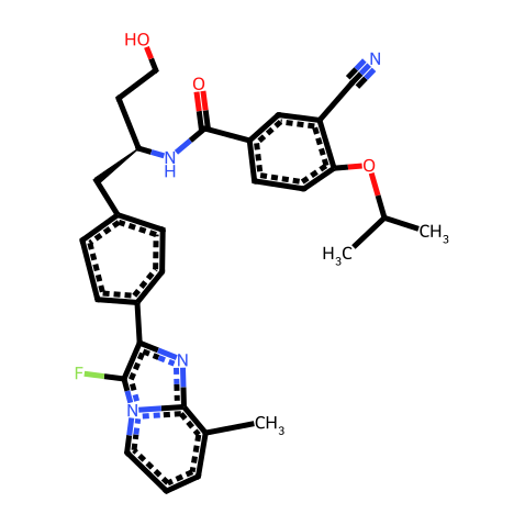 Cc1cccn2c(F)c(-c3ccc(C[C@@H](CCO)NC(=O)c4ccc(OC(C)C)c(C#N)c4)cc3)nc12